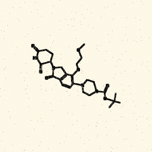 COCCOc1c(N2CCN(C(=O)OC(C)(C)C)CC2)ccc2c1CN(C1CCC(=O)NC1=O)C2=O